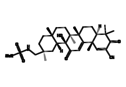 CNS(=O)(=O)NC[C@@]1(C)CC[C@]2(C)CC[C@@]3(C)[C@]4(C)CC[C@H]5C(C)(C)C(=O)C(C#N)=C[C@]5(C)C4=CC(=O)[C@]3(O)[C@@H]2C1